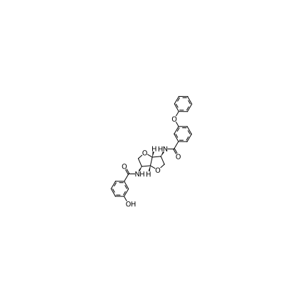 O=C(N[C@H]1CO[C@H]2[C@@H]1OC[C@@H]2NC(=O)c1cccc(Oc2ccccc2)c1)c1cccc(O)c1